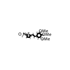 COc1cc(C=Cc2ccc([N+](=O)[O-])s2)cc(OC)c1OC